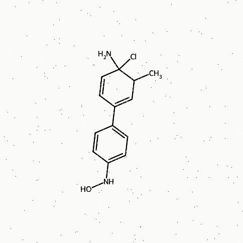 CC1C=C(c2ccc(NO)cc2)C=CC1(N)Cl